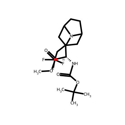 COC(=O)[C@@H](NC(=O)OC(C)(C)C)C1CC2CCC(C1)N2CCC(F)(F)F